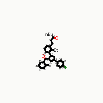 CCCCC(=O)CCc1cccc(C2CC(c3ccc(F)cc3)=CC2C(=O)c2ccccc2C)c1CC